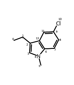 C[CH]c1cn(C)c2ccc(Cl)cc12